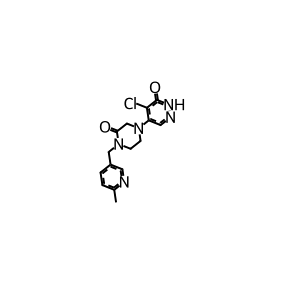 Cc1ccc(CN2CCN(c3cn[nH]c(=O)c3Cl)CC2=O)cn1